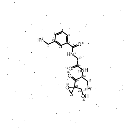 CC(C)Cc1cccc(C(=O)NCC(=O)NC(CC(C)C)C(=O)C2(CO)CO2)c1